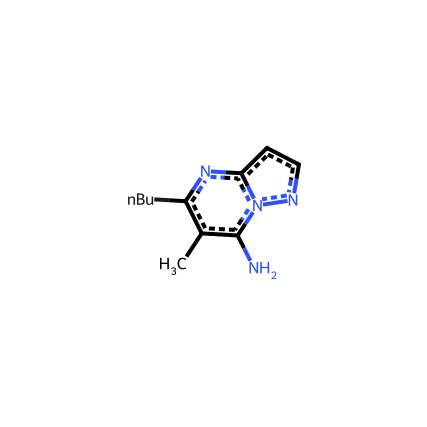 CCCCc1nc2ccnn2c(N)c1C